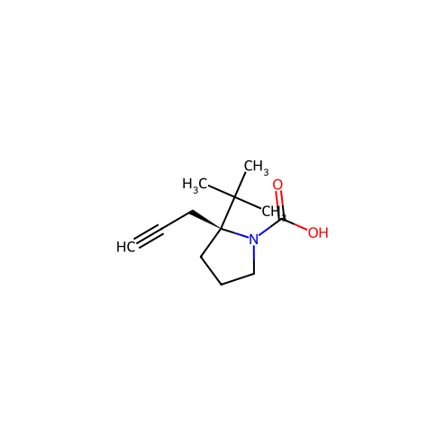 C#CC[C@]1(C(C)(C)C)CCCN1C(=O)O